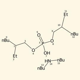 CCCCC(CC)COP(=O)(O)OCC(CC)CCCC.CCCCNCCCC